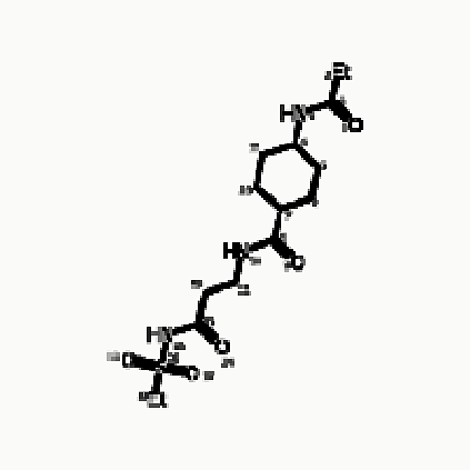 CCC(=O)N[C@H]1CC[C@@H](C(=O)NCCC(=O)NS(=O)(=O)CC)CC1